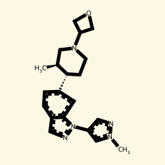 C[C@H]1CN(C2COC2)CC[C@@H]1c1ccc2cnn(-c3cnn(C)c3)c2c1